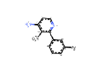 CC(=O)c1cccc(-c2nccc(N)c2[N+](=O)[O-])c1